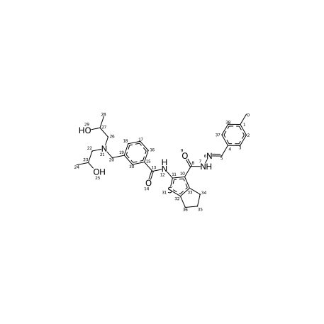 Cc1ccc(C=NNC(=O)c2c(NC(=O)c3cccc(CN(CC(C)O)CC(C)O)c3)sc3c2CCC3)cc1